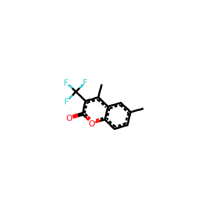 Cc1ccc2oc(=O)c(C(F)(F)F)c(C)c2c1